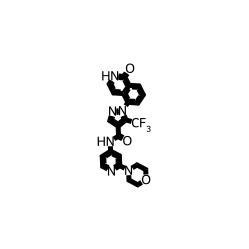 O=C(Nc1ccnc(N2CCOCC2)c1)c1cnn(-c2cccc3c(=O)[nH]ccc23)c1C(F)(F)F